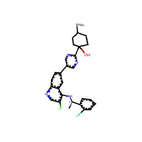 CC(=O)NC1CCC(O)(c2ncc(-c3ccc4ncc(Cl)c(N[C@H](C)c5ccccc5F)c4c3)cn2)CC1